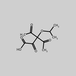 CC(=O)C(OC(C)C)(C(C)=O)C(=O)C(=O)O